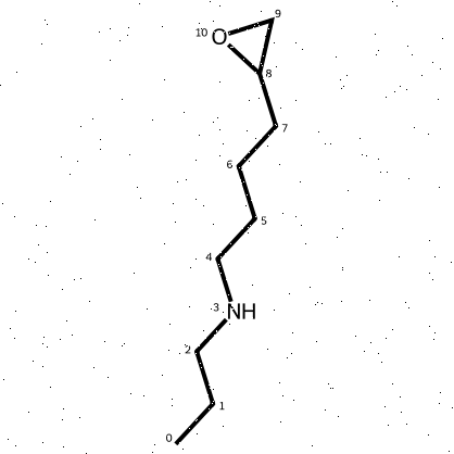 CCCNCCCCC1CO1